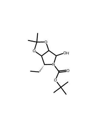 CC[C@@H]1C2OC(C)(C)OC2C(O)N1C(=O)OC(C)(C)C